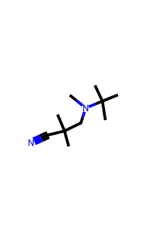 CN(CC(C)(C)C#N)C(C)(C)C